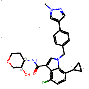 Cn1cc(-c2ccc(Cn3cc(C(=O)N[C@H]4CCOC[C@@H]4O)c4c(F)ccc(C5CC5)c43)cc2)cn1